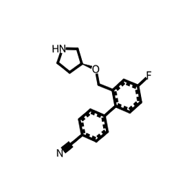 N#Cc1ccc(-c2ccc(F)cc2CO[C@H]2CCNC2)cc1